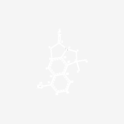 CC1(C)CN2C(=O)Cc3cc4c(O)cccc4c1c32